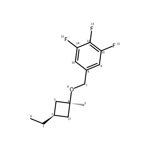 CC[C@H]1C[C@@](C)(OCc2cc(F)c(F)c(F)c2)C1